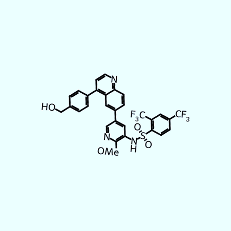 COc1ncc(-c2ccc3nccc(-c4ccc(CO)cc4)c3c2)cc1NS(=O)(=O)c1ccc(C(F)(F)F)cc1C(F)(F)F